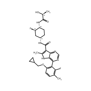 Cc1ccc(OCC2CC2)c(-c2ncnc3c(C(=O)N[C@H]4CC[C@@H](NC(=O)[C@H](C)O)[C@H](F)C4)c(C)[nH]c23)c1F